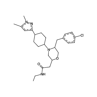 CCNC(=O)CC1CN(C2CCC(c3cc(C)n(C)n3)CC2)C(Cc2ccc(Cl)cc2)CO1